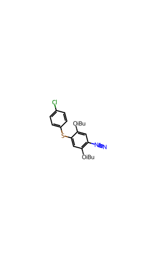 CC(C)COc1cc(Sc2ccc(Cl)cc2)c(OCC(C)C)cc1[N+]#N